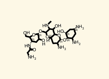 CNC1C(O[C@H]2OC(CO)[C@@H](NC(=O)CN)CC2O)O[C@H]2CC(N)[C@@H](O[C@@H]3C(N)C[C@@H](N)C[C@H]3O)OC2C1O